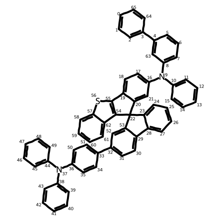 c1ccc(-c2cccc(N(c3ccccc3)c3ccc4c(c3)C3(c5ccccc5-c5ccc(-c6ccc(N(c7ccccc7)c7ccccc7)cc6)cc53)c3c-4sc4ccccc34)c2)cc1